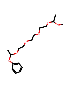 COC(C)OCCOCCOCCOC(C)Oc1ccccc1